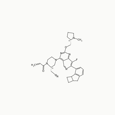 C=CC(=O)N1CCN(c2nc(OC[C@@H]3CCCN3C)nc3c(F)c(-c4cccc5c4C4CCC4C5)ncc23)C[C@@H]1CC#N